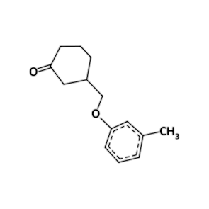 Cc1cccc(OCC2CCCC(=O)C2)c1